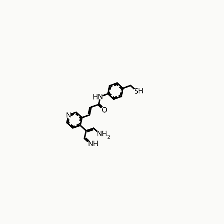 N=C/C(=C\N)c1ccncc1/C=C/C(=O)Nc1ccc(CS)cc1